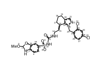 COC1Nc2ccc(S(=O)(=O)NC(=O)NC/C=C3\CCCc4cnn(Cc5ccc(Cl)cc5Cl)c43)cc2O1